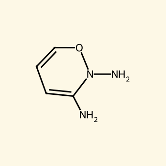 NC1=CC=CON1N